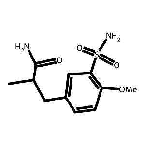 COc1ccc(CC(C)C(N)=O)cc1S(N)(=O)=O